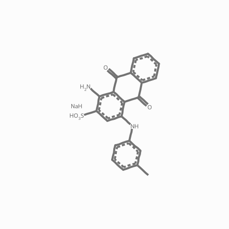 Cc1cccc(Nc2cc(S(=O)(=O)O)c(N)c3c2C(=O)c2ccccc2C3=O)c1.[NaH]